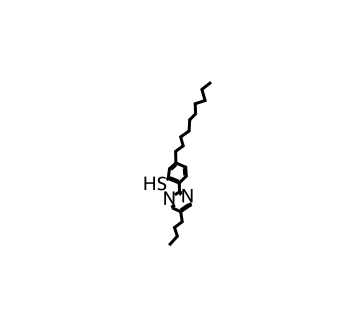 CCCCCCCCCCc1ccc(-c2ncc(CCCC)cn2)c(S)c1